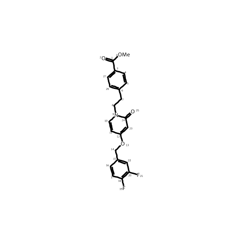 COC(=O)c1ccc(CCn2ccc(OCc3ccc(F)c(F)c3)cc2=O)cc1